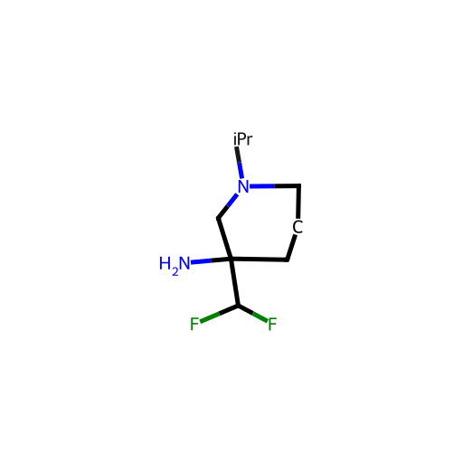 CC(C)N1CCCC(N)(C(F)F)C1